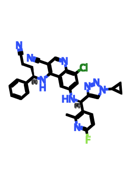 Cc1nc(F)ccc1[C@@H](Nc1cc(Cl)c2ncc(C#N)c(N[C@H](CCC#N)c3ccccc3)c2c1)c1cn(C2CC2)nn1